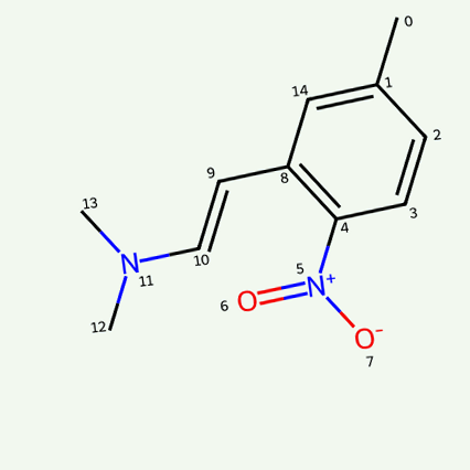 Cc1ccc([N+](=O)[O-])c(/C=C/N(C)C)c1